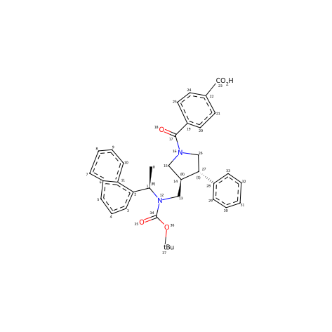 C[C@H](c1cccc2ccccc12)N(C[C@H]1CN(C(=O)c2ccc(C(=O)O)cc2)C[C@@H]1c1ccccc1)C(=O)OC(C)(C)C